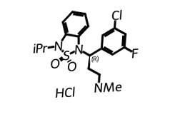 CNCC[C@H](c1cc(F)cc(Cl)c1)N1c2ccccc2N(C(C)C)S1(=O)=O.Cl